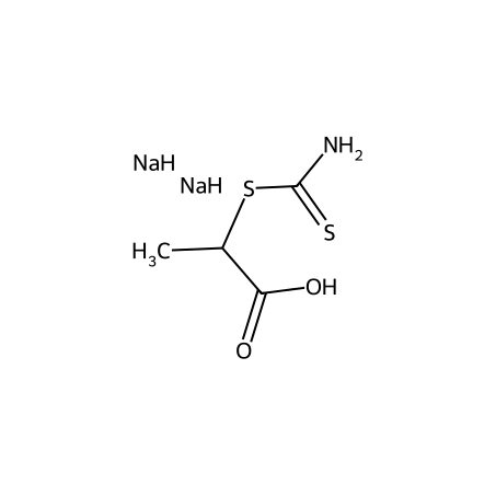 CC(SC(N)=S)C(=O)O.[NaH].[NaH]